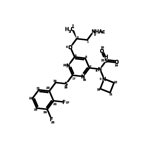 CC(=O)NC[C@@H](C)Oc1cc(N(N2CCC2)[SH](=O)=O)nc(SCc2cccc(F)c2F)n1